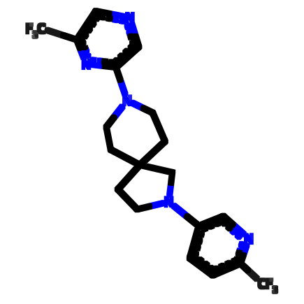 FC(F)(F)c1ccc(N2CCC3(CCN(c4cncc(C(F)(F)F)n4)CC3)C2)cn1